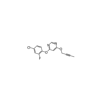 CC#CCOc1cc(Oc2ccc(Cl)cc2F)ncn1